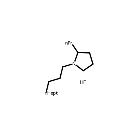 CCCCCCCCCCN1CCCC1CCC.F